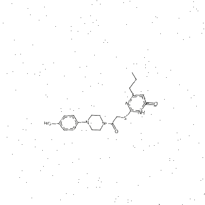 CCCc1cc(=O)[nH]c(SCC(=O)N2CCN(c3ccc(O)cc3)CC2)n1